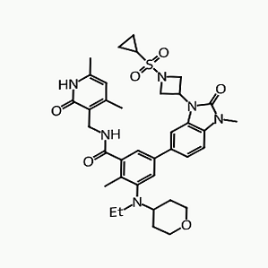 CCN(c1cc(-c2ccc3c(c2)n(C2CN(S(=O)(=O)C4CC4)C2)c(=O)n3C)cc(C(=O)NCc2c(C)cc(C)[nH]c2=O)c1C)C1CCOCC1